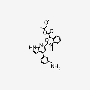 COCC(C)OC(=O)Cc1ccccc1NC(=O)c1cc(-c2cccc(CN)c2)c2cc[nH]c2n1